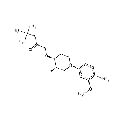 COc1cc(N2CC[C@H](OCC(=O)OC(C)(C)C)[C@H](F)C2)ccc1N